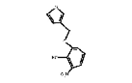 N#Cc1c(OCc2ccoc2)cccc1[N+](=O)[O-]